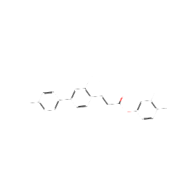 CCc1ccc(-c2ccc(/C=C/C(=O)Oc3ccc(CC)c(CC)c3)c(C)c2)cc1